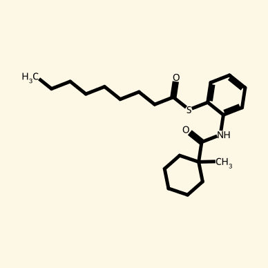 CCCCCCCCC(=O)Sc1ccccc1NC(=O)C1(C)CCCCC1